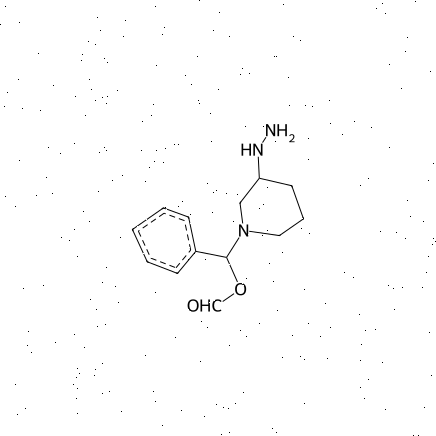 NNC1CCCN(C(OC=O)c2ccccc2)C1